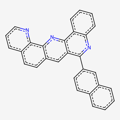 c1ccc2cc(-c3nc4ccccc4c4nc5c(ccc6cccnc65)cc34)ccc2c1